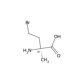 C[C@](N)(CCBr)C(=O)O